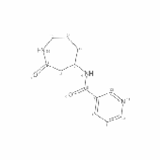 O=C1CC(NC(=O)c2cccnc2)CCCN1